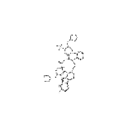 C=C1CC2C(CCc3ccc4c(oc5nc(C)ccc54)c3-c3cc(CC4CCCC4)cc[n+]31)c1ccccc1-c1cc(CC3CCCC3)c([Si](C)(C)C)c[n+]12